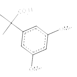 COc1cc(OC)cc(C(C)(C)C(=O)O)c1